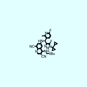 Cc1nc(F)ccc1[C@H](Nc1cc(C#N)c2ncc(C#N)c(NCC(C)(C)C)c2c1)c1nnn(C2(C3CC3)CC2)c1F